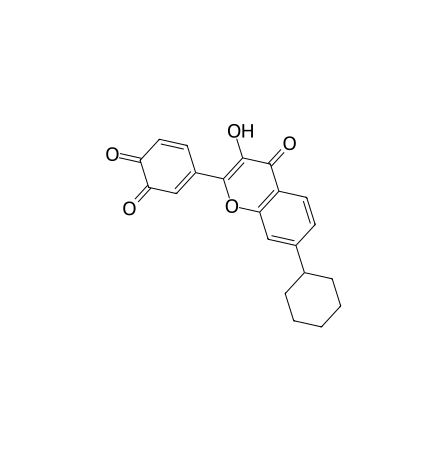 O=C1C=CC(c2oc3cc(C4CCCCC4)ccc3c(=O)c2O)=CC1=O